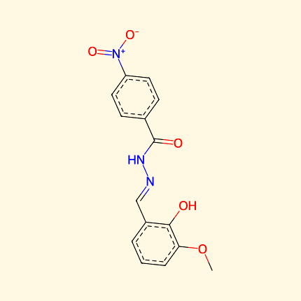 COc1cccc(C=NNC(=O)c2ccc([N+](=O)[O-])cc2)c1O